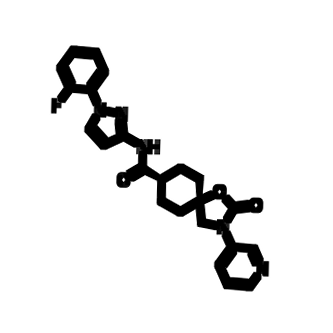 O=C1O[C@]2(CC[C@H](C(=O)Nc3ccn(-c4ccccc4F)n3)CC2)CN1c1cccnc1